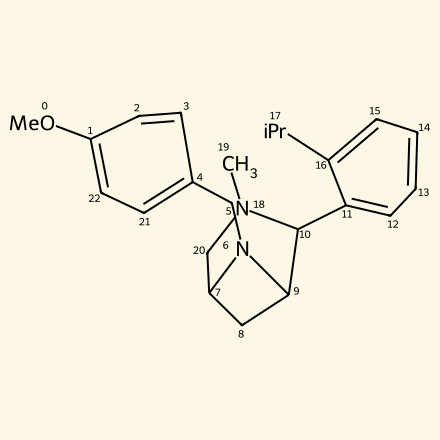 COc1ccc(CN2C3CC2C(c2ccccc2C(C)C)N(C)C3)cc1